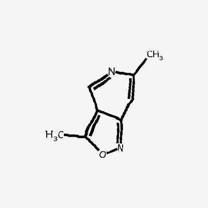 Cc1cc2noc(C)c2cn1